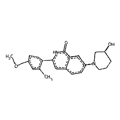 COc1ccc(-c2cc3ccc(N4CCCC(O)C4)cc3c(=O)[nH]2)c(C)c1